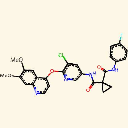 COc1cc2nccc(Oc3ncc(NC(=O)C4(C(=O)Nc5ccc(F)cc5)CC4)cc3Cl)c2cc1OC